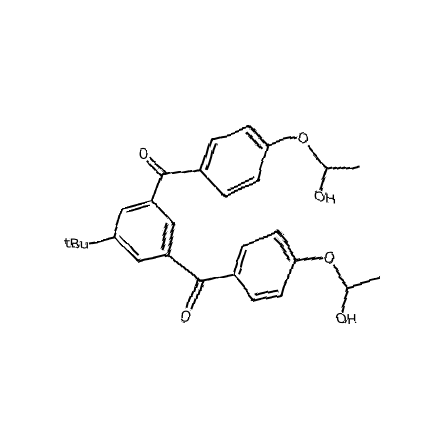 CC(O)Oc1ccc(C(=O)c2cc(C(=O)c3ccc(OC(C)O)cc3)cc(C(C)(C)C)c2)cc1